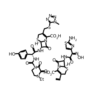 C=CC1=C(C(=O)O)N2C(=O)[C@@H](NC(=O)/C(=N\O)c3csc(N)n3)[C@H]2SC1.CCN1CCN(C(=O)N[C@@H](C(=O)N[C@@H]2C(=O)N3C(C(=O)O)=C(CSc4nnnn4C)CS[C@H]23)c2ccc(O)cc2)C(=O)C1=O